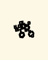 CC[C@@H](c1ccccc1)N1c2nc(N3CCOCC3)cc(=O)n2C[C@@]1(C)C(F)(F)F